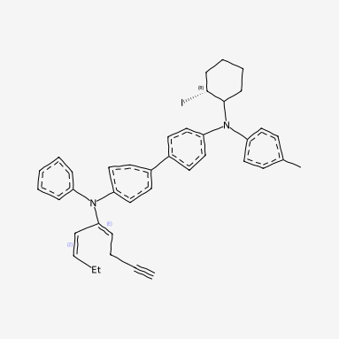 C#CC/C=C(\C=C/CC)N(c1ccccc1)c1ccc(-c2ccc(N(c3ccc(C)cc3)C3CCCC[C@H]3I)cc2)cc1